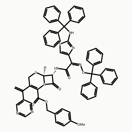 C=C(C1=C(C(=O)OCc2ccc(OC)cc2)N2C(=O)[C@@H](NC(=O)/C(=N\OC(c3ccccc3)(c3ccccc3)c3ccccc3)c3csc(NC(c4ccccc4)(c4ccccc4)c4ccccc4)n3)[C@@H]2SC1)c1cncnc1